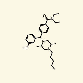 CCCCCN1C[C@@H](C)N([C@@H](c2ccc(C(=O)N(CC)CC)cc2)c2cccc(O)c2)C[C@H]1C